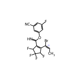 C/C=C(/Br)C1=C(C(=N)Oc2cc(F)cc(C#N)c2)C(F)C(F)(F)C1F